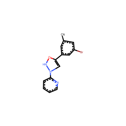 N#Cc1cc(Br)cc(C2=CN(c3ccccn3)NO2)c1